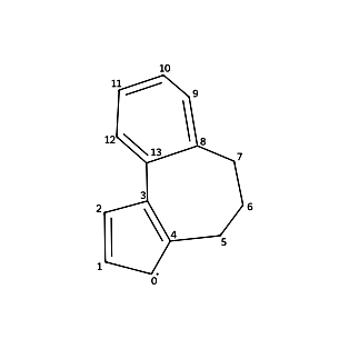 [CH]1C=CC2=C1CCCc1ccccc12